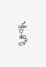 Cc1cc(-c2cnn3cc(OC(C)(C)CN4CCOCC4)ccc23)cc(C)c1C(=O)NC1CC1F